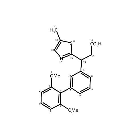 COc1cccc(OC)c1-c1cccc(C(CC(=O)O)c2ncc(C)s2)c1